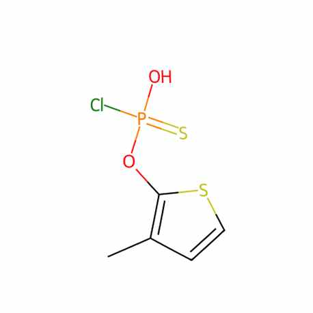 Cc1ccsc1OP(O)(=S)Cl